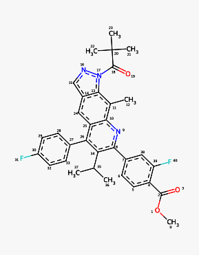 COC(=O)c1ccc(-c2nc3c(C)c4c(cnn4C(=O)C(C)(C)C)cc3c(-c3ccc(F)cc3)c2C(C)C)cc1F